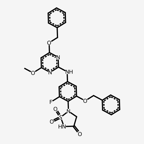 COc1cc(OCc2ccccc2)nc(Nc2cc(F)c(N3CC(=O)NS3(=O)=O)c(OCc3ccccc3)c2)n1